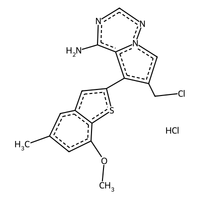 COc1cc(C)cc2cc(-c3c(CCl)cn4ncnc(N)c34)sc12.Cl